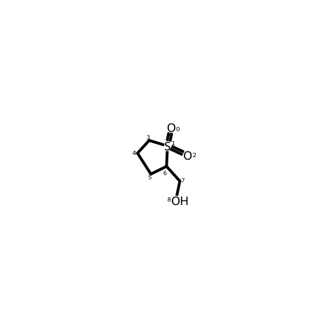 O=S1(=O)CCCC1CO